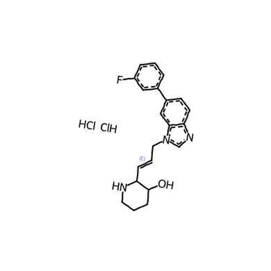 Cl.Cl.OC1CCCNC1/C=C/Cn1cnc2ccc(-c3cccc(F)c3)cc21